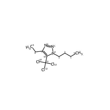 CCCCn1nnc(CC)c1C(Cl)(Cl)Cl